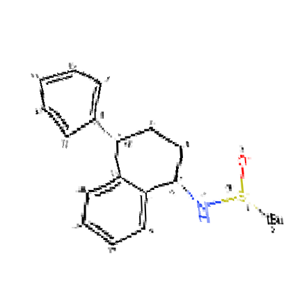 CC(C)(C)[S@@+]([O-])N[C@H]1CC[C@@H](c2ccccc2)c2ccccc21